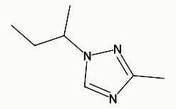 CCC(C)n1cnc(C)n1